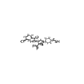 O=C(Nc1cn([C@H]2CC[C@H](SS)CC2)nc1C(F)F)c1cccc(Cl)c1